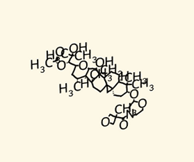 CC(=O)O[C@@H](C1C[C@@H](C)[C@H]2C(O1)[C@H](O)[C@@]1(C)C3CC[C@H]4C(C)(C)[C@@H](O[C@H]5CN(C(=O)C6(C)COC6)CCO5)CC[C@@]45CC35CC[C@]21C)C(C)(C)O